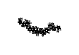 CO[C@@H]1C(OC(=O)c2ccc(C)[nH]2)[C@H](O)[C@H](Oc2ccc3c(O)c(NC(=O)c4[nH]cc(-c5c(O)c6ccc(O[C@H]7OC(C)(C)[C@@H](OC)[C@@H](OC(=O)c8ccc(C)[nH]8)C7O)c(C)c6oc5=O)c4C)c(=O)oc3c2C)OC1(C)C